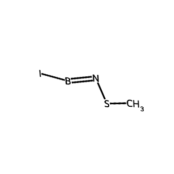 CSN=BI